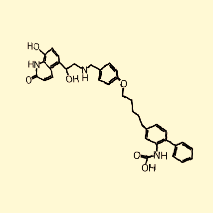 O=C(O)Nc1cc(CCCCCOc2ccc(CNCC(O)c3ccc(O)c4[nH]c(=O)ccc34)cc2)ccc1-c1ccccc1